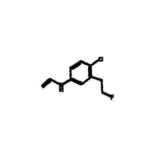 C=CNc1ccc(Cl)c(CCF)c1